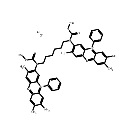 Cc1cc2nc3cc(C)c(N(CCCCCCN(C(=O)OC(C)(C)C)c4cc5c(cc4C)nc4cc(C)c(N)cc4[n+]5-c4ccccc4)C(=O)OC(C)(C)C)cc3[n+](-c3ccccc3)c2cc1N.[Cl-].[Cl-]